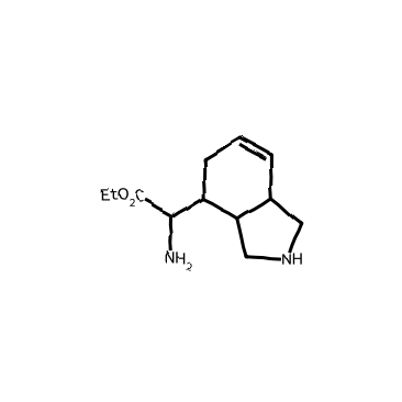 CCOC(=O)C(N)C1CC=CC2CNCC21